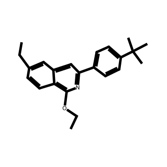 CCOc1nc(-c2ccc(C(C)(C)C)cc2)cc2cc(CC)ccc12